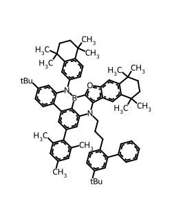 Cc1cc(C)c(-c2cc3c4c(c2)N(CCCc2ccc(C(C)(C)C)cc2-c2ccccc2)c2c(oc5cc6c(cc25)C(C)(C)CCC6(C)C)B4N(c2ccc4c(c2)C(C)(C)CCC4(C)C)c2cc(C(C)(C)C)ccc2-3)c(C)c1